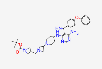 CC(C)(C)OC(=O)N1CC(CN2CC(N3CCC(Nc4ncnc(N)c4C(=N)c4ccc(Oc5ccccc5)cc4)CC3)C2)C1